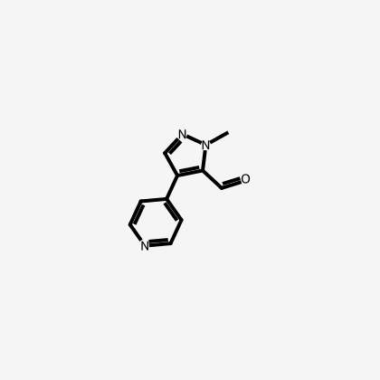 Cn1ncc(-c2ccncc2)c1C=O